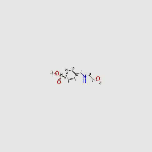 COCCNCc1ccc(C(=O)OC)cc1